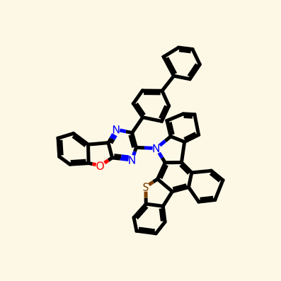 c1ccc(-c2ccc(-c3nc4c(nc3-n3c5ccccc5c5c6ccccc6c6c7ccccc7sc6c53)oc3ccccc34)cc2)cc1